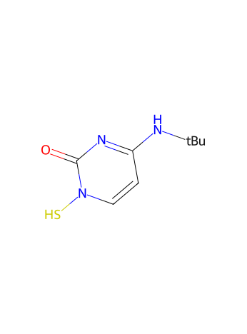 CC(C)(C)Nc1ccn(S)c(=O)n1